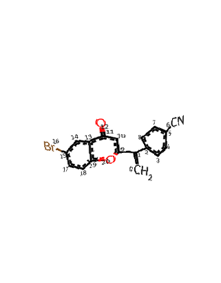 C=C(c1ccc(C#N)cc1)c1cc(=O)c2cc(Br)ccc2o1